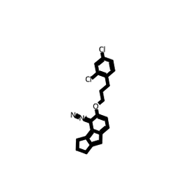 [N-]=[N+]=C1C(OCCCc2ccc(Cl)cc2Cl)=CC=C2C=C3CCCC3=C21